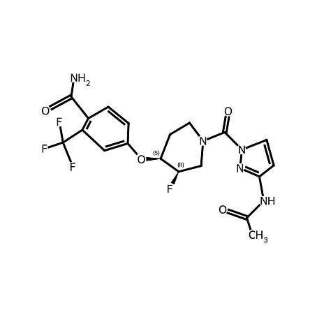 CC(=O)Nc1ccn(C(=O)N2CC[C@H](Oc3ccc(C(N)=O)c(C(F)(F)F)c3)[C@H](F)C2)n1